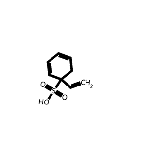 C=CC1(S(=O)(=O)O)C=CC=CC1